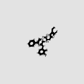 CCc1cc(CC(Nc2ncc(-c3ccccc3)nc2Cc2cccc(F)c2F)C(=O)O)oc1C